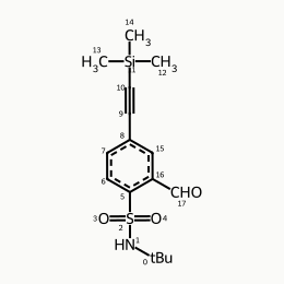 CC(C)(C)NS(=O)(=O)c1ccc(C#C[Si](C)(C)C)cc1C=O